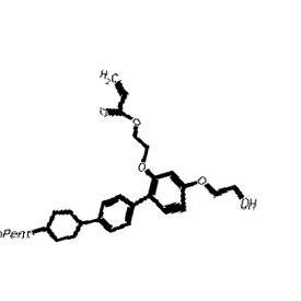 C=CC(=O)OCCOc1cc(OCCO)ccc1-c1ccc(C2CCC(CCCCC)CC2)cc1